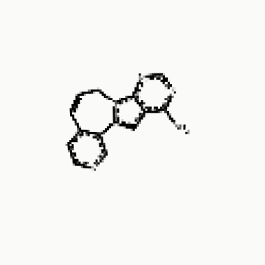 Nc1ncnc2c1cc1n2CC=Cc2ccncc2-1